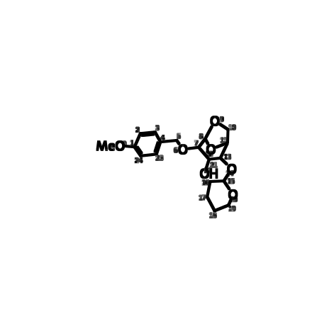 COc1ccc(COC2C3OCC(O3)C(OC3CCCCO3)C2O)cc1